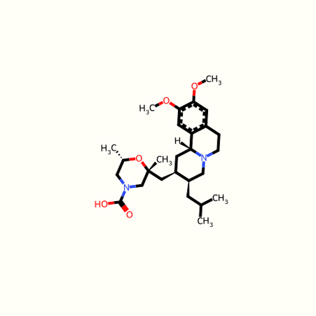 COc1cc2c(cc1OC)[C@H]1C[C@H](C[C@]3(C)CN(C(=O)O)C[C@H](C)O3)[C@H](CC(C)C)CN1CC2